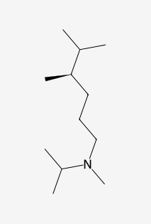 CC(C)[C@H](C)CCCN(C)C(C)C